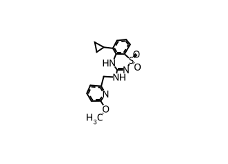 COc1cccc(CNC2=NS(=O)(=O)c3cccc(C4CC4)c3N2)n1